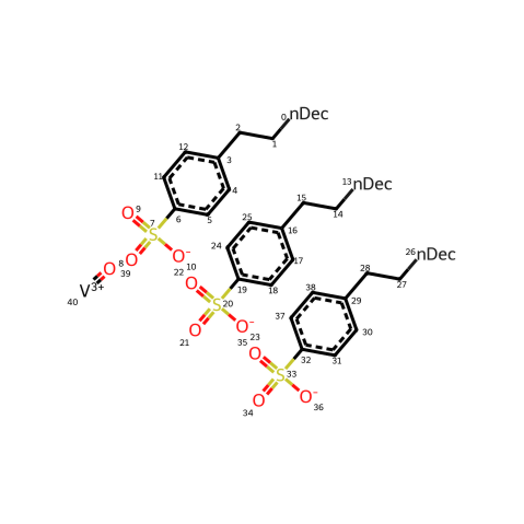 CCCCCCCCCCCCc1ccc(S(=O)(=O)[O-])cc1.CCCCCCCCCCCCc1ccc(S(=O)(=O)[O-])cc1.CCCCCCCCCCCCc1ccc(S(=O)(=O)[O-])cc1.[O]=[V+3]